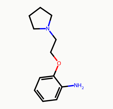 Nc1ccccc1OCCN1CCCC1